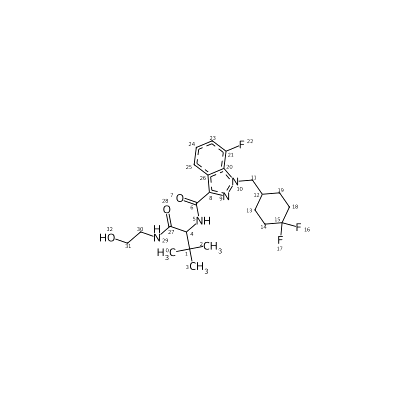 CC(C)(C)C(NC(=O)c1nn(CC2CCC(F)(F)CC2)c2c(F)cccc12)C(=O)NCCO